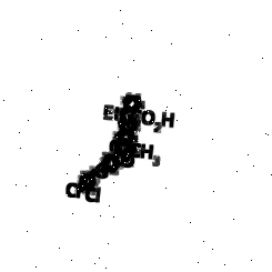 CC[C@@H](c1ccccc1)N1Cc2cc3c(cc2C[C@H]1C(=O)O)N(C)C(=O)[C@H](c1ccc(OCc2ccc(Cl)c(Cl)c2)cc1)O3